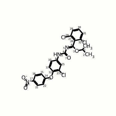 CC(C)OC(=NC(=O)Nc1ccc(Oc2ccc([N+](=O)[O-])cc2)c(Cl)c1)c1c(Cl)cccc1Cl